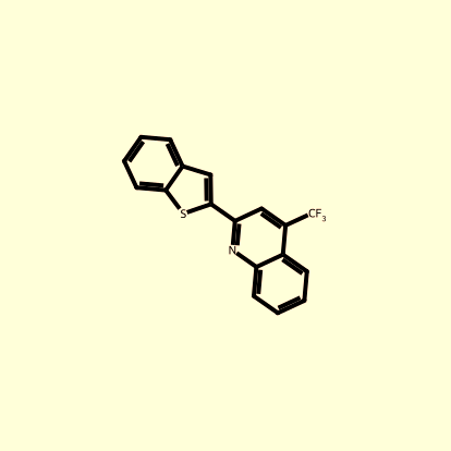 FC(F)(F)c1cc(-c2cc3ccccc3s2)nc2ccccc12